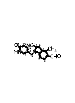 Cc1c(C=O)ccc2c1cc(C#N)n2Cc1ccc(=O)[nH]c1